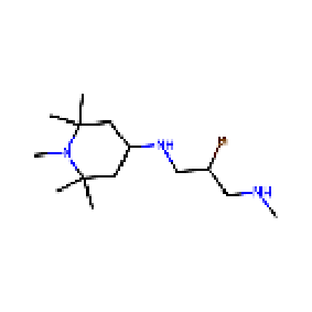 CNCC(Br)CNC1CC(C)(C)N(C)C(C)(C)C1